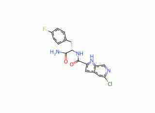 NC(=O)[C@H](Cc1ccc(F)cc1)NC(=O)c1cc2cc(Cl)ncc2[nH]1